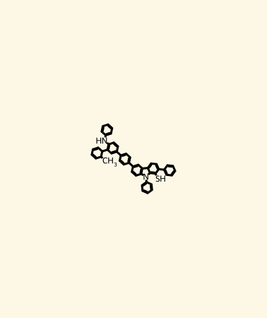 CC1C=CC=CC1c1cc(-c2ccc(-c3ccc4c(c3)c3ccc(-c5ccccc5)c(S)c3n4-c3ccccc3)cc2)ccc1Nc1ccccc1